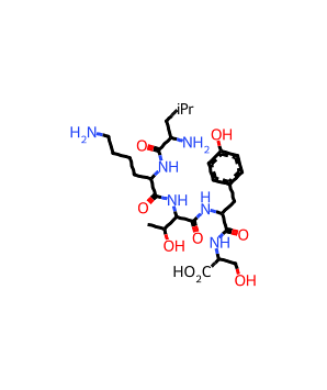 CC(C)CC(N)C(=O)NC(CCCCN)C(=O)NC(C(=O)NC(Cc1ccc(O)cc1)C(=O)NC(CO)C(=O)O)C(C)O